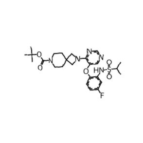 CC(C)S(=O)(=O)Nc1cc(F)ccc1Oc1cncnc1N1CC2(CCN(C(=O)OC(C)(C)C)CC2)C1